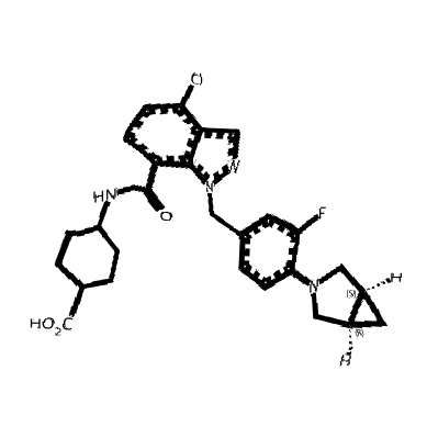 O=C(NC1CCC(C(=O)O)CC1)c1ccc(Cl)c2cnn(Cc3ccc(N4C[C@H]5C[C@H]5C4)c(F)c3)c12